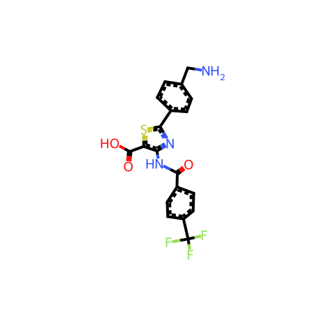 NCc1ccc(-c2nc(NC(=O)c3ccc(C(F)(F)F)cc3)c(C(=O)O)s2)cc1